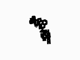 C[C@H](Nc1ncnc2[nH]cnc12)c1cc2cccc(Cl)c2c(N2CCN(S(C)(=O)=O)C[C@H]2C)n1